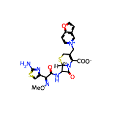 CON=C(C(=O)NC1C(=O)N2C(C(=O)[O-])=C(C[n+]3ccc4occc4c3)CS[C@@H]12)c1csc(N)n1